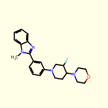 Cn1c(-c2cccc(N3CCC(N4CCOCC4)C(F)C3)c2)nc2ccccc21